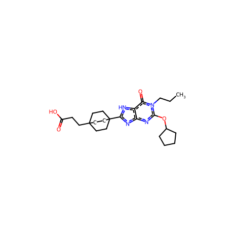 CCCn1c(OC2CCCC2)nc2nc(C34CCC(CCC(=O)O)(CC3)CC4)[nH]c2c1=O